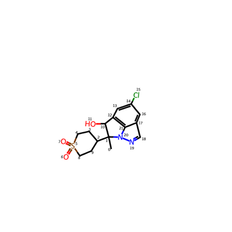 CC1(C2CCS(=O)(=O)CC2)C(O)c2cc(Cl)cc3cnn1c23